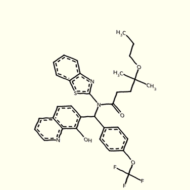 CCCOC(C)(C)CCC(=O)N(c1nc2ccccc2s1)C(c1ccc(OC(F)(F)F)cc1)c1ccc2cccnc2c1O